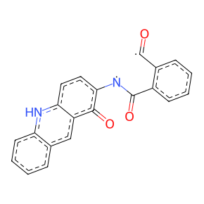 O=[C]c1ccccc1C(=O)[N]c1ccc2[nH]c3ccccc3cc-2c1=O